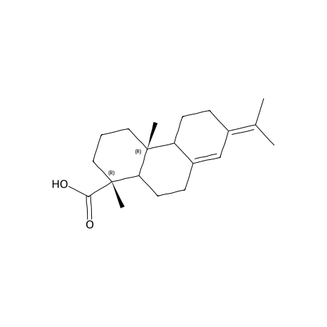 CC(C)=C1C=C2CCC3[C@](C)(CCC[C@@]3(C)C(=O)O)C2CC1